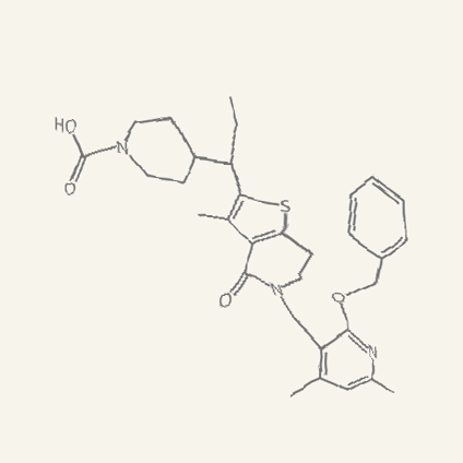 CCC(c1sc2c(c1C)C(=O)N(Cc1c(C)cc(C)nc1OCc1ccccc1)CC2)C1CCN(C(=O)O)CC1